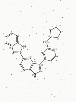 c1ccc2[nH]c(-c3cnc4[nH]cc(-c5ccnc(NC6CCCC6)n5)c4c3)cc2c1